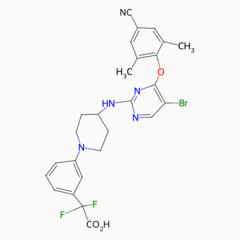 Cc1cc(C#N)cc(C)c1Oc1nc(NC2CCN(c3cccc(C(F)(F)C(=O)O)c3)CC2)ncc1Br